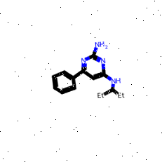 CCC(CC)Nc1cc(-c2ccccc2)nc(N)n1